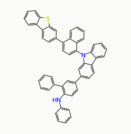 c1ccc(Nc2ccc(-c3ccc4c5ccccc5n(-c5ccc(-c6ccc7c(c6)sc6ccccc67)c6ccccc56)c4c3)cc2-c2ccccc2)cc1